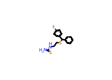 NC(=S)NCCSC(c1ccccc1)c1ccc(F)cc1